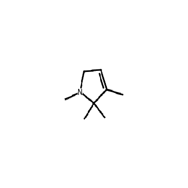 CC1=CCN(C)C1(C)C